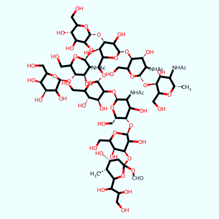 CC(=O)NC1C(O)[C@H](O[C@@H]2OC(CO)[C@H](O)[C@H](O[C@]3(OC=O)C[C@@H](O)[C@@H](C)C(C(O)C(O)CO)O3)C2O)[C@H](CO)O[C@H]1OC1[C@@H](OCC2O[C@@H](O[C@@H]3C(CO)O[C@@H](O[C@@H]4C(CO)O[C@@H](C)C(NC(C)=O)[C@H]4O)C(NC(C)=O)[C@H]3O)C(O)[C@@H](O[C@H]3OC(CO)[C@@H](O)C(O)C3O[C@@H]3OC(CO)[C@@H](O[C@@H]4OC(CO)[C@H](O)[C@H](O)C4O)[C@H](O)C3NC(C)=O)[C@@H]2O)OC(CO)[C@@H](O)[C@@H]1O